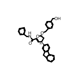 O=C(NCc1ccccc1)C1=C[C@H](c2ccc3c(c2)Cc2ccccc2-3)C[C@H](OCc2ccc(CO)cc2)O1